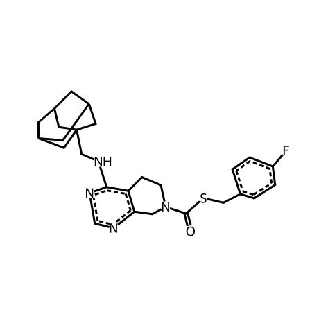 O=C(SCc1ccc(F)cc1)N1CCc2c(ncnc2NCC23CC4CC(CC(C4)C2)C3)C1